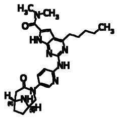 CCCCCc1nc(Nc2ccc(N3C[C@@H]4CC[C@H](CC3=O)N4)cn2)nc2[nH]c(C(=O)N(C)C)cc12